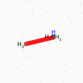 COCCOCCOCCOCCOCCOCCOCCOCCOCCOCCOCCOCCOCCOCCOCCOCCOCCOCCOCCOCCOCCOCCOCCOCCOCCOCCOCCOCCOCCOCCS(=O)(=O)CCC(C)(C)NCl